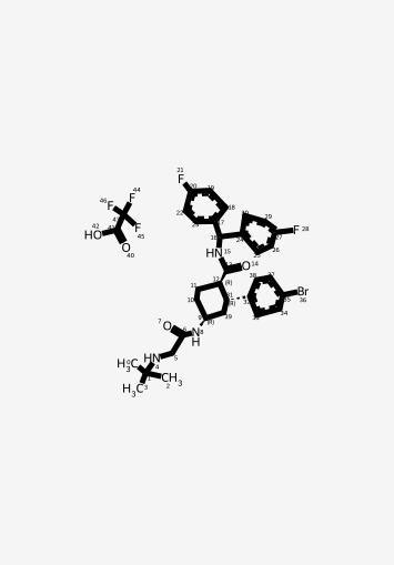 CC(C)(C)NCC(=O)N[C@@H]1CC[C@@H](C(=O)NC(c2ccc(F)cc2)c2ccc(F)cc2)[C@H](c2ccc(Br)cc2)C1.O=C(O)C(F)(F)F